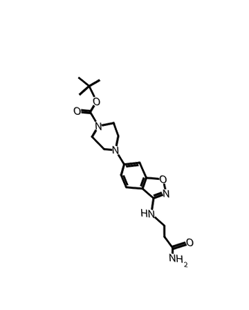 CC(C)(C)OC(=O)N1CCN(c2ccc3c(NCCC(N)=O)noc3c2)CC1